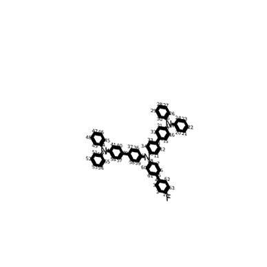 Fc1ccc(-c2ccc(N(c3ccc(-c4ccc(N(c5ccccc5)c5ccccc5)cc4)cc3)c3ccc(-c4ccc(N(c5ccccc5)c5ccccc5)cc4)cc3)cc2)cc1